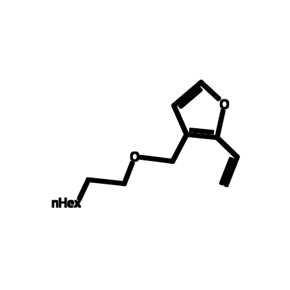 C=Cc1occc1COCCCCCCCC